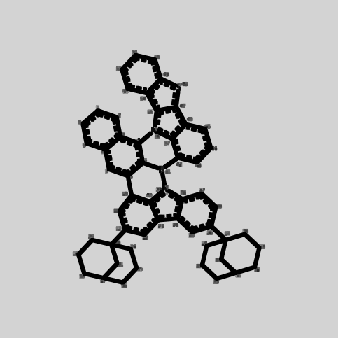 c1ccc2c3c4c(cc2c1)-c1cc(C25CCCC(CCC2)C5)cc2c5cc(C67CCCC(CCC6)C7)ccc5n(c12)B4c1cccc2c4sc5ccccc5c4n-3c12